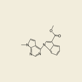 COC(=O)c1cn(-c2ncnc3c2ccn3C)c2ccccc12